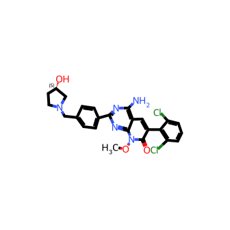 COn1c(=O)c(-c2c(Cl)cccc2Cl)cc2c(N)nc(-c3ccc(CN4CC[C@H](O)C4)cc3)nc21